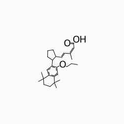 CCCOc1cc2c(cc1C1CCCC1/C=C/C(C)=C\C(=O)O)C(C)(C)CCC2(C)C